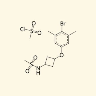 CS(=O)(=O)Cl.Cc1cc(OC2CC(NS(C)(=O)=O)C2)cc(C)c1Br